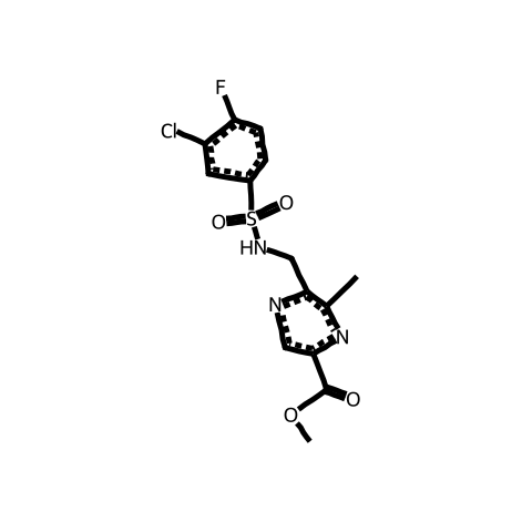 COC(=O)c1cnc(CNS(=O)(=O)c2ccc(F)c(Cl)c2)c(C)n1